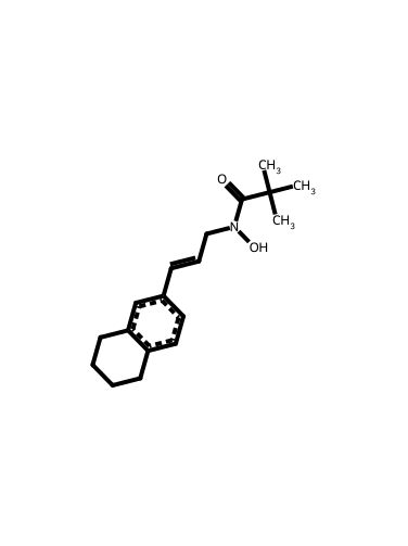 CC(C)(C)C(=O)N(O)CC=Cc1ccc2c(c1)CCCC2